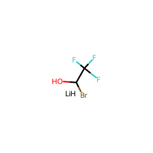 OC(Br)C(F)(F)F.[LiH]